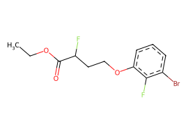 CCOC(=O)C(F)CCOc1cccc(Br)c1F